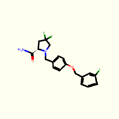 NC(=O)[C@@H]1CC(F)(F)CN1Cc1ccc(OCc2cccc(F)c2)cc1